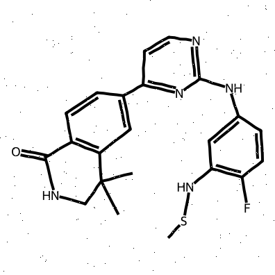 CSNc1cc(Nc2nccc(-c3ccc4c(c3)C(C)(C)CNC4=O)n2)ccc1F